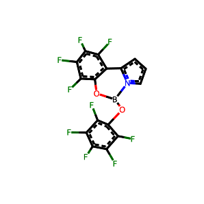 Fc1c(F)c(F)c(OB2Oc3c(F)c(F)c(F)c(F)c3-c3cccn32)c(F)c1F